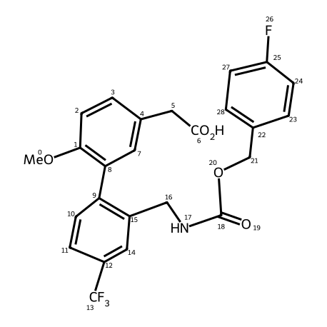 COc1ccc(CC(=O)O)cc1-c1ccc(C(F)(F)F)cc1CNC(=O)OCc1ccc(F)cc1